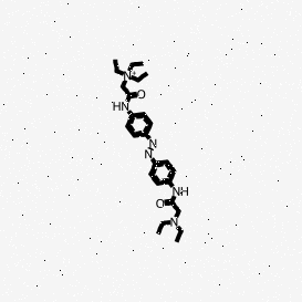 CCN(CC)CC(=O)Nc1ccc(/N=N/c2ccc(NC(=O)C[N+](CC)(CC)CC)cc2)cc1